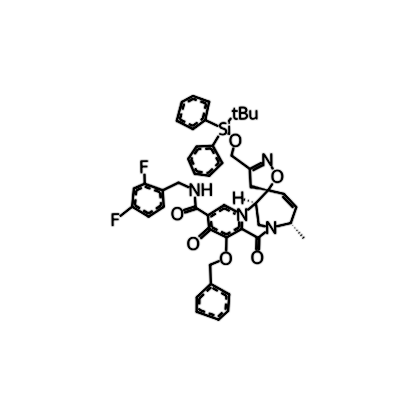 C[C@H]1C=C[C@]2(CC(CO[Si](c3ccccc3)(c3ccccc3)C(C)(C)C)=NO2)[C@H]2CN1C(=O)c1c(OCc3ccccc3)c(=O)c(C(=O)NCc3ccc(F)cc3F)cn12